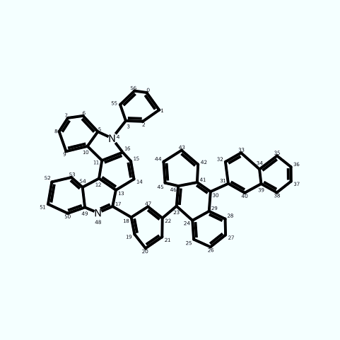 c1ccc(-n2c3ccccc3c3c4c(ccc32)c(-c2cccc(-c3c5ccccc5c(-c5ccc6ccccc6c5)c5ccccc35)c2)nc2ccccc24)cc1